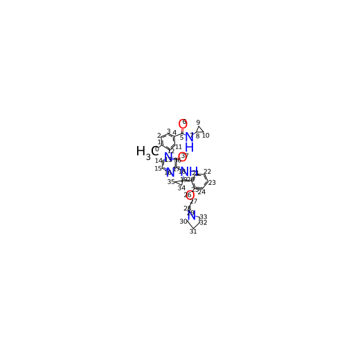 Cc1ccc(C(=O)NC2CC2)cc1-n1ccnc(NC2(c3ccccc3OCCN3CCCC3)CC2)c1=O